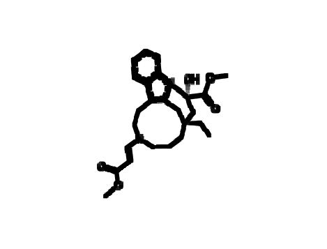 CC[C@]12CCCN(/C=C/C(=O)OC)CCc3c(n(c4ccccc34)[C@@](O)(C(=O)OC)C1)C2